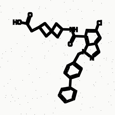 O=C(O)CC1CC2(C1)CC(NC(=O)c1cc(Cl)cc3cnn(Cc4ccc(-c5ccccc5)cc4)c13)C2